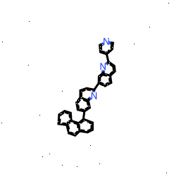 c1ccc2c(c1)ccc1cccc(-c3ccc4ccc(-c5ccc6ccc(-c7ccncc7)nc6c5)nc4c3)c12